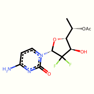 CC(=O)O[C@@H](C)[C@H]1O[C@@H](n2ccc(N)nc2=O)C(F)(F)[C@@H]1O